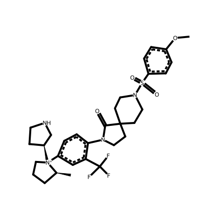 COc1ccc(S(=O)(=O)N2CCC3(CCN(c4ccc([N+]5([C@H]6CCNC6)CCC[C@@H]5C)cc4C(F)(F)F)C3=O)CC2)cc1